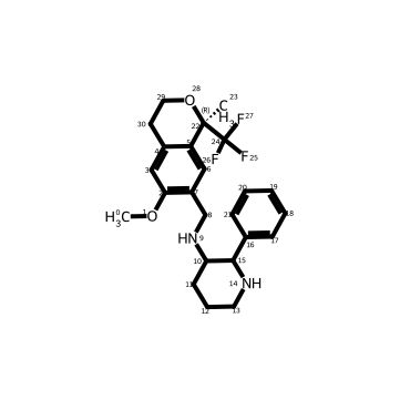 COc1cc2c(cc1CNC1CCCNC1c1ccccc1)[C@](C)(C(F)(F)F)OCC2